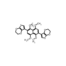 COc1cc(-c2csc3c2OCCO3)c(OC)c2c(OC)cc(-c3csc4c3OCCO4)c(OC)c12